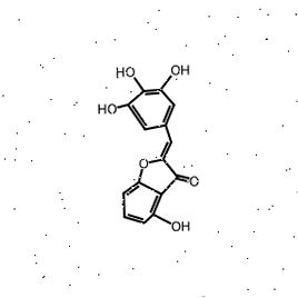 O=C1/C(=C/c2cc(O)c(O)c(O)c2)Oc2cccc(O)c21